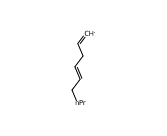 [CH]=CCC=CCCC[CH2]